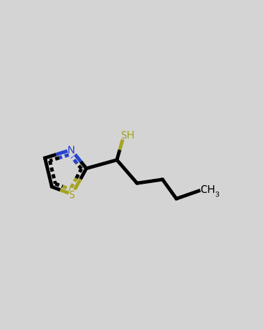 CCCCC(S)c1nccs1